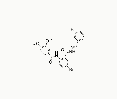 COc1ccc(C(=O)Nc2ccc(Br)cc2C(=O)N/N=C/c2cccc(F)c2)cc1OC